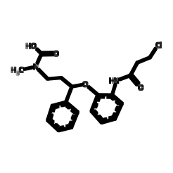 CN(CCC(Oc1ccccc1NC(=O)CCCl)c1ccccc1)C(=O)O